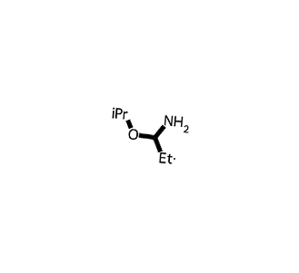 C[CH]C(N)OC(C)C